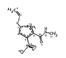 C=CCc1cc([N+](=O)[O-])c(C(=O)NC)[nH]1